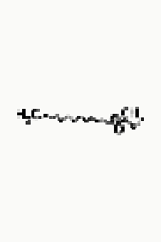 CCCCCCCCCCCCCCOC(=O)C(C)C1CC1